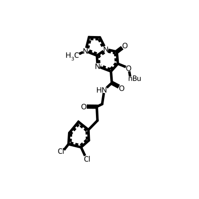 CCCCOc1c(C(=O)NCC(=O)Cc2ccc(Cl)c(Cl)c2)nc2n(C)ccn2c1=O